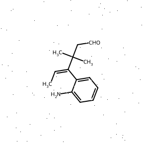 C/C=C(\c1ccccc1N)C(C)(C)CC=O